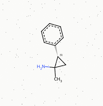 CC1(N)C[C@H]1c1ccccc1